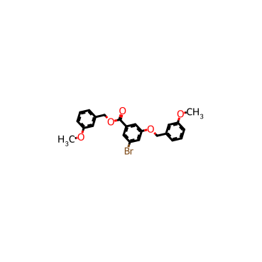 COc1cccc(COC(=O)c2cc(Br)cc(OCc3cccc(OC)c3)c2)c1